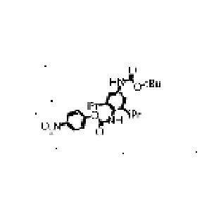 CC(C)c1cc(NC(=O)OC(C)(C)C)cc(C(C)C)c1NC(=O)Oc1ccc([N+](=O)[O-])cc1